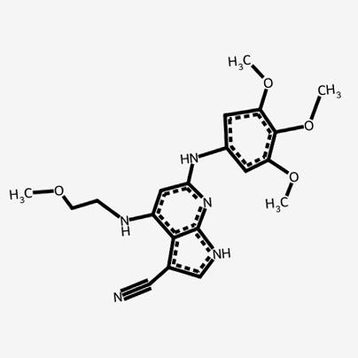 COCCNc1cc(Nc2cc(OC)c(OC)c(OC)c2)nc2[nH]cc(C#N)c12